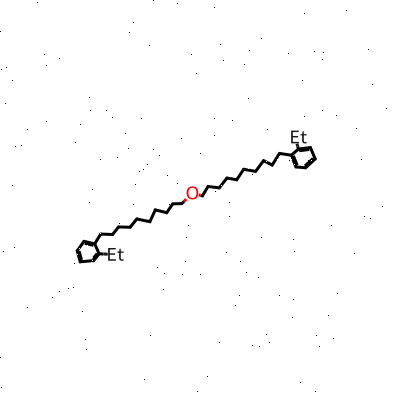 CCc1ccccc1CCCCCCCCCCOCCCCCCCCCCc1ccccc1CC